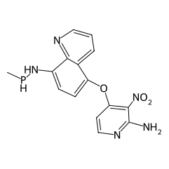 CPNc1ccc(Oc2ccnc(N)c2[N+](=O)[O-])c2cccnc12